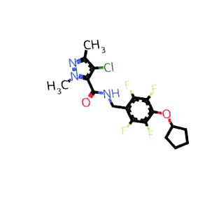 Cc1nn(C)c(C(=O)NCc2c(F)c(F)c(OC3CCCC3)c(F)c2F)c1Cl